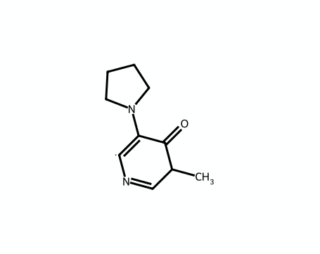 CC1C=N[C]=C(N2CCCC2)C1=O